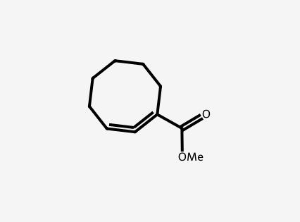 COC(=O)C1=C=CCCCCC1